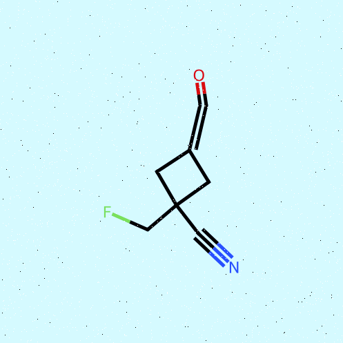 N#CC1(CF)CC(=C=O)C1